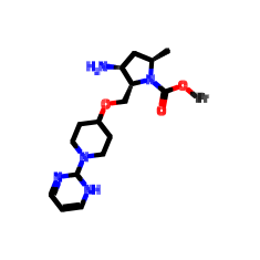 CC(C)OC(=O)N1[C@H](C)C[C@H](N)[C@@H]1COC1CCN(C2N=CC=CN2)CC1